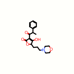 CC(C(=O)C1=C(O)C(CCCN2CCOCC2)OC1=O)c1ccccc1